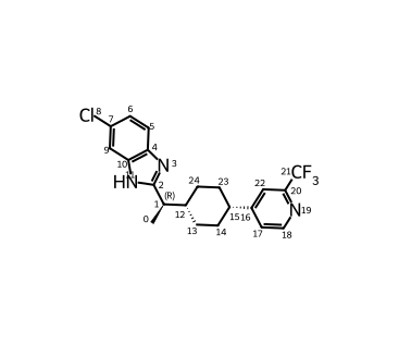 C[C@@H](c1nc2ccc(Cl)cc2[nH]1)[C@H]1CC[C@@H](c2ccnc(C(F)(F)F)c2)CC1